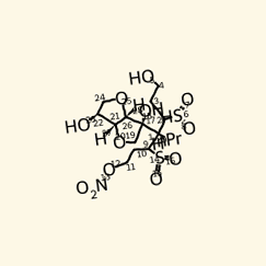 CCCC(C(CCO)[SH](=O)=O)(C(CCO[N+](=O)[O-])[SH](=O)=O)[C@]1(O)CO[C@@H]2[C@@H](O)CO[C@@H]21